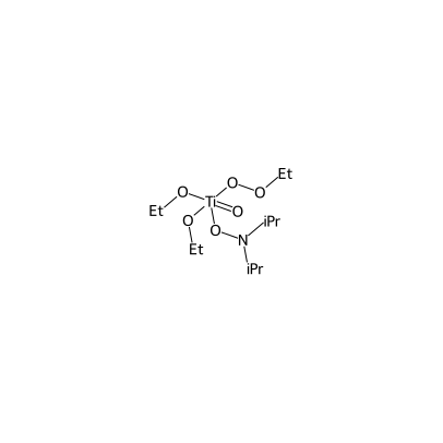 CCO[O][Ti](=[O])([O]CC)([O]CC)[O]N(C(C)C)C(C)C